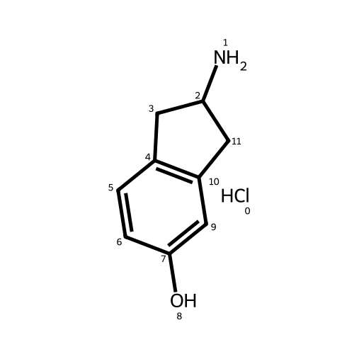 Cl.NC1Cc2ccc(O)cc2C1